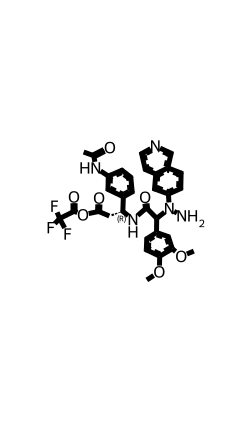 COc1ccc(C(C(=O)N[C@H](CC(=O)OC(=O)C(F)(F)F)c2cccc(NC(C)=O)c2)N(N)c2ccc3cnccc3c2)cc1OC